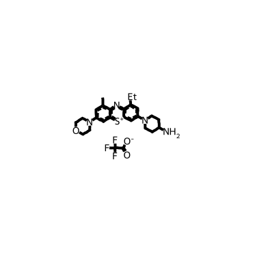 CCc1cc(N2CCC(N)CC2)cc2[s+]c3cc(N4CCOCC4)cc(C)c3nc12.O=C([O-])C(F)(F)F